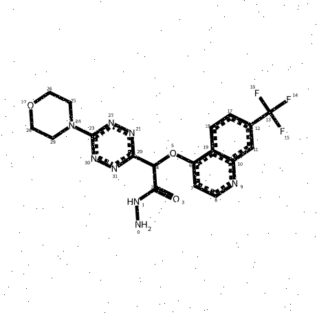 NNC(=O)C(Oc1ccnc2cc(C(F)(F)F)ccc12)c1nnc(N2CCOCC2)nn1